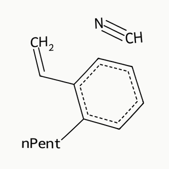 C#N.C=Cc1ccccc1CCCCC